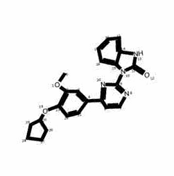 COc1cc(-c2ccnc(-n3c(=O)[nH]c4ccccc43)n2)ccc1OC1CCCC1